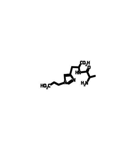 CC(N)C(=O)NC(Cc1cn(CCC(=O)O)cn1)C(=O)O